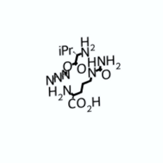 CC(C)[C@H](N)C(=O)ON=[N+]=[N-].NC(=O)NCCC[C@H](N)C(=O)O